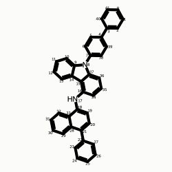 c1ccc(-c2ccc(-n3c4ccccc4c4c(Nc5ccc(-c6ccccc6)c6ccccc56)cccc43)cc2)cc1